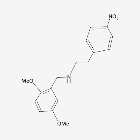 COc1ccc(OC)c(CNCCc2ccc([N+](=O)[O-])cc2)c1